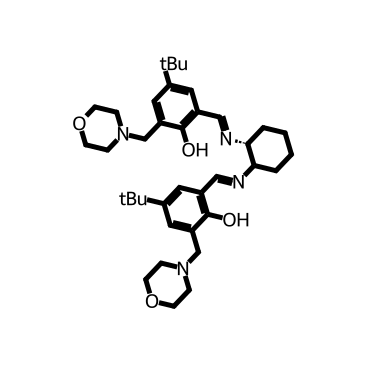 CC(C)(C)c1cc(/C=N/C2CCCC[C@H]2/N=C/c2cc(C(C)(C)C)cc(CN3CCOCC3)c2O)c(O)c(CN2CCOCC2)c1